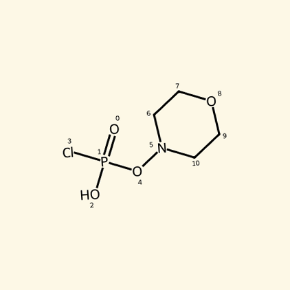 O=P(O)(Cl)ON1CCOCC1